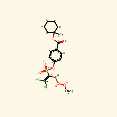 CCC1(OC(=O)c2ccc(OS(=O)(=O)C(SOOOC)=C(F)F)cc2)CCCCC1